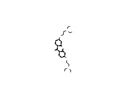 CCN(CC)CCSc1ccc2c(=O)c3ccc(SCCN(CC)CC)cc3oc2c1